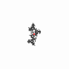 Cc1cc(C2C(=O)Oc3c2cc(C(C)(C)C)cc3C(C)(C)C)cc(C)c1OP1Oc2c(cc(C(C)(C)C)cc2C(C)(C)C)C(C)c2cc(C(C)(C)C)cc(C(C)(C)C)c2O1